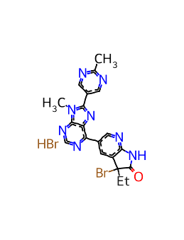 Br.CCC1(Br)C(=O)Nc2ncc(-c3ncnc4c3nc(-c3cnc(C)nc3)n4C)cc21